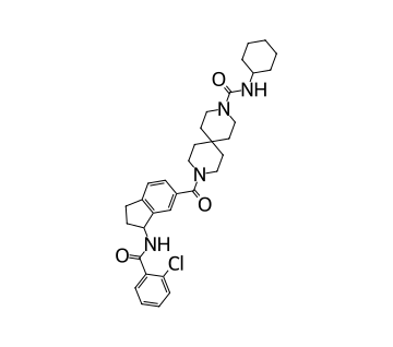 O=C(NC1CCc2ccc(C(=O)N3CCC4(CCN(C(=O)NC5CCCCC5)CC4)CC3)cc21)c1ccccc1Cl